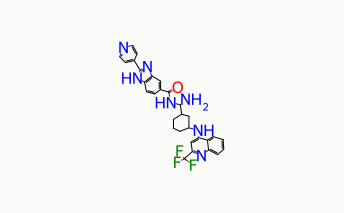 NC(NC(=O)c1ccc2[nH]c(-c3ccncc3)nc2c1)C1CCCC(Nc2cc(C(F)(F)F)nc3ccccc23)C1